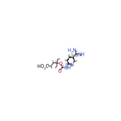 CC(C)(CCC(=O)O)OC(=O)Nc1ccc(C(=N)N)cn1